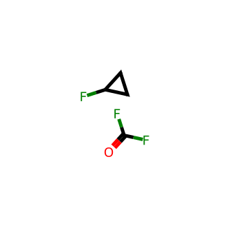 FC1CC1.O=C(F)F